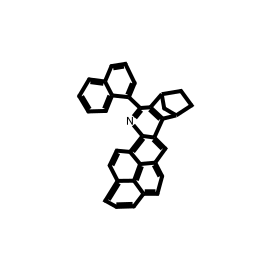 c1ccc2c(-c3nc4c(cc5ccc6cccc7ccc4c5c67)c4c3C3CCC4C3)cccc2c1